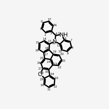 c1ccc(C2Nc3ccccc3N2c2cccc3c2-c2cccc4c2c-3cc2oc3ccccc3c24)cc1